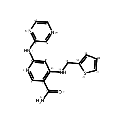 NC(=O)c1cnc(Nc2cnccn2)cc1NCc1cccs1